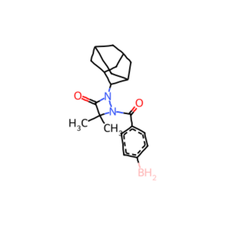 Bc1ccc(C(=O)N2N(C3C4CC5CC(C4)CC3C5)C(=O)C2(C)C)cc1